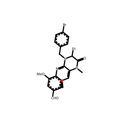 C=N/C=C1\C(=N/c2ccc(C=O)cc2OC)N(Cc2ccc(Br)cc2)C(CC)C(=O)N1C